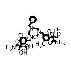 Cc1cc(CN2CCN(Cc3ccccc3)CCN(Cc3cc(C)cc(C(O)(CO)C(N)=O)c3O)CC2)c(O)c(C(O)(CO)C(N)=O)c1